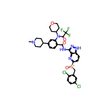 CN1CCC(c2ccc(C(=O)Nc3n[nH]c4ccc([S+]([O-])Cc5cc(Cl)ccc5Cl)nc34)c(N(C(=O)C(F)(F)F)C3CCOCC3)c2)CC1